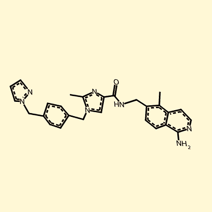 Cc1c(CNC(=O)c2cn(Cc3ccc(Cn4cccn4)cc3)c(C)n2)ccc2c(N)nccc12